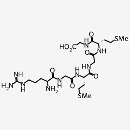 CSCC[C@H](NC(=O)CNC(=O)[C@H](CCSC)NC(=O)CNC(=O)[C@@H](N)CCCNC(=N)N)C(=O)NCC(=O)O